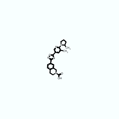 Cc1cc(-c2nc(-c3ccc4c(c3)CN(C(=O)O)CC4)no2)cnc1N1CCCC1C